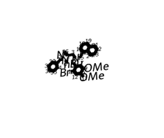 CCCCn1c(CN(Cc2cc(OC)c(OC)cc2Br)Cc2cccc3ccccc23)cnc1-c1ccccc1